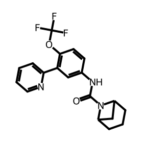 O=C(Nc1ccc(OC(F)(F)F)c(-c2ccccn2)c1)N1C2CCCC1C2